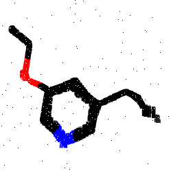 BCc1cncc(OCC)c1